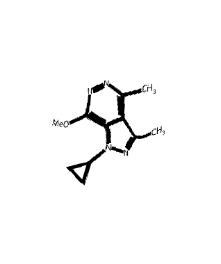 COc1nnc(C)c2c(C)nn(C3CC3)c12